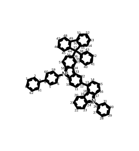 c1ccc(-c2ccc(-n3c4ccc(-c5cccc6c5c5ccccc5n6-c5ccccc5)cc4c4cc(C5(c6ccccc6)c6ccccc6-c6ccccc65)ccc43)cc2)cc1